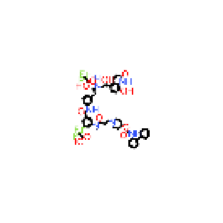 C[C@H](Cc1cccc(NC(=O)c2cccc(N(C)C(=O)CCN3CCC(OC(=O)Nc4ccccc4-c4ccccc4)CC3)c2)c1)NC[C@H](O)c1ccc(O)c2[nH]c(=O)ccc12.O=C(O)C(F)(F)F.O=C(O)C(F)(F)F